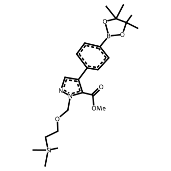 COC(=O)c1c(-c2ccc(B3OC(C)(C)C(C)(C)O3)cc2)cnn1COCC[Si](C)(C)C